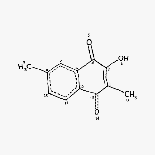 CC1=C(O)C(=O)c2cc(C)ccc2C1=O